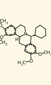 COc1cc2c(cc1OC)[C@H](C1CCCCC1)N1CCc3cc(OC)c(OC)cc3[C@@H]1C2